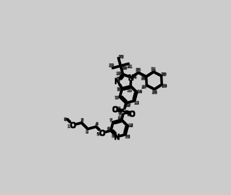 COCCCOc1cc(S(=O)(=O)c2ccc3c(c2)nc(C(C)(C)C)n3CC2CCCCC2)ccn1